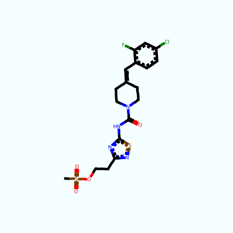 CS(=O)(=O)OCCc1nsc(NC(=O)N2CCC(=Cc3ccc(Cl)cc3F)CC2)n1